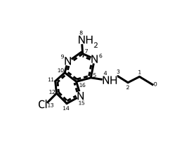 CCCCNc1nc(N)nc2cc(Cl)cnc12